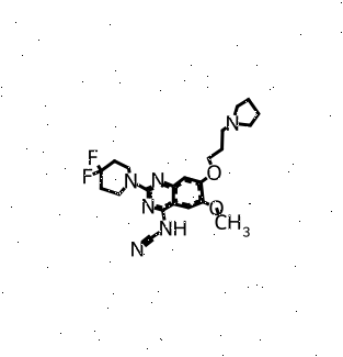 COc1cc2c(NC#N)nc(N3CCC(F)(F)CC3)nc2cc1OCCCN1CCCC1